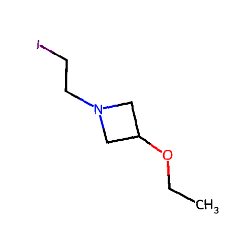 CCOC1CN(CCI)C1